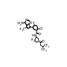 Nc1ncnn2c(-c3cc(C(=O)N[C@@H]4CN(C(=O)CC(C(F)(F)F)C(F)(F)F)C[C@@H]4F)c(Cl)cc3F)cc(C(F)(F)F)c12